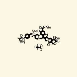 CC[C@@]1(O)C(=O)OCc2c1cc1n(c2=O)Cc2c-1nc1cc(C(=O)NC)c(OC)cc1c2CN1CCC([N+](C)(C)Cc2ccc(NC(=O)[C@H](C)N)cc2)CC1.O=C([O-])C(F)(F)F